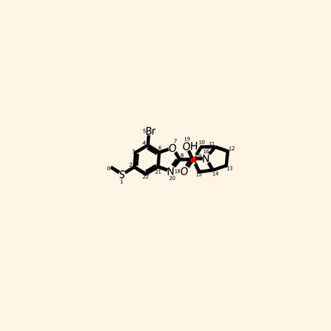 CSc1cc(Br)c2oc(N3CC4CCC(C3)N4C(=O)O)nc2c1